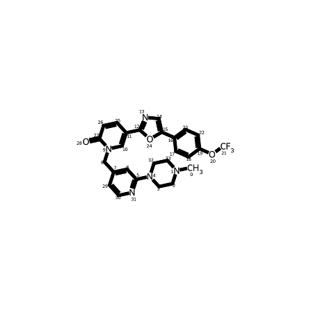 CN1CCN(c2cc(Cn3cc(-c4ncc(-c5ccc(OC(F)(F)F)cc5)o4)ccc3=O)ccn2)CC1